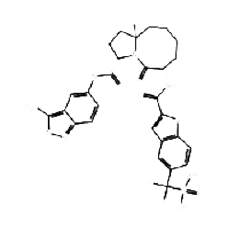 Cc1[nH]nc2ccc(NC(=O)[C@@H]3CC[C@@H]4CCCC[C@H](NC(=O)c5cc6cc(C(F)(F)P(=O)(O)O)ccc6s5)C(=O)N43)cc12